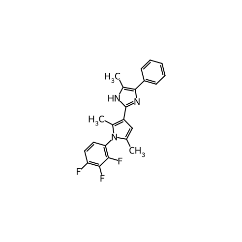 Cc1[nH]c(-c2cc(C)n(-c3ccc(F)c(F)c3F)c2C)nc1-c1ccccc1